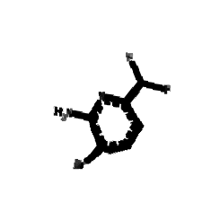 Nc1nc(C(F)F)ccc1Br